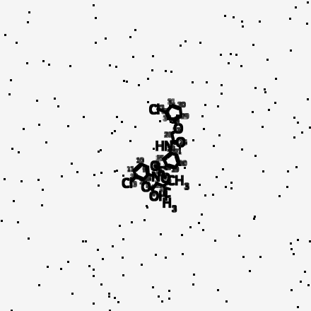 CC(C)C(C(=O)O)N(c1cccc(Cl)c1)S(=O)(=O)c1cccc(NC(=O)COc2cccc(Cl)c2)c1